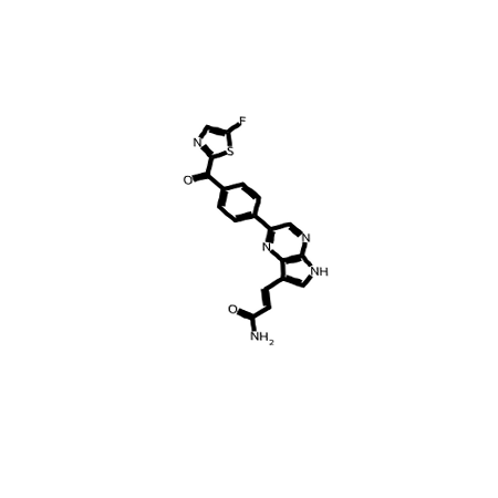 NC(=O)C=Cc1c[nH]c2ncc(-c3ccc(C(=O)c4ncc(F)s4)cc3)nc12